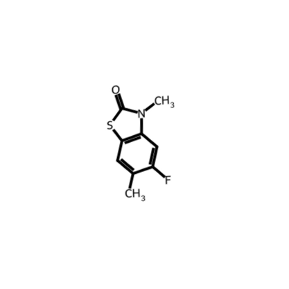 Cc1cc2sc(=O)n(C)c2cc1F